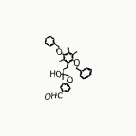 Cc1c(C)c(OCc2ccccc2)c(CCC(C)(O)COc2ccc(C=O)cc2)c(C)c1OCc1ccccc1